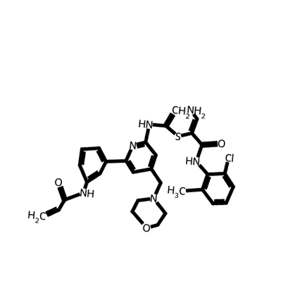 C=CC(=O)Nc1cccc(-c2cc(CN3CCOCC3)cc(NC(=C)S/C(=C\N)C(=O)Nc3c(C)cccc3Cl)n2)c1